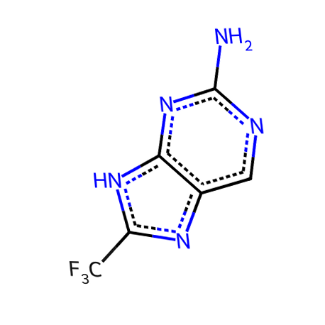 Nc1ncc2nc(C(F)(F)F)[nH]c2n1